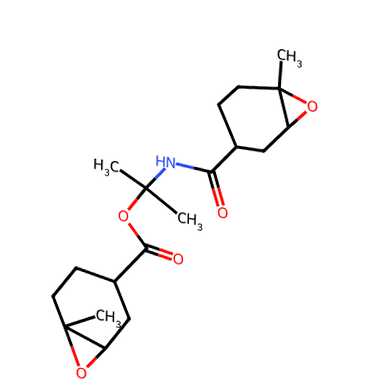 CC(C)(NC(=O)C1CCC2(C)OC2C1)OC(=O)C1CCC2(C)OC2C1